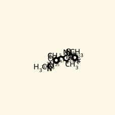 COc1cc(C=C2CC(C)CN3C2=NOC3(C)c2ccc(F)cc2)ccc1-n1cnc(C)c1